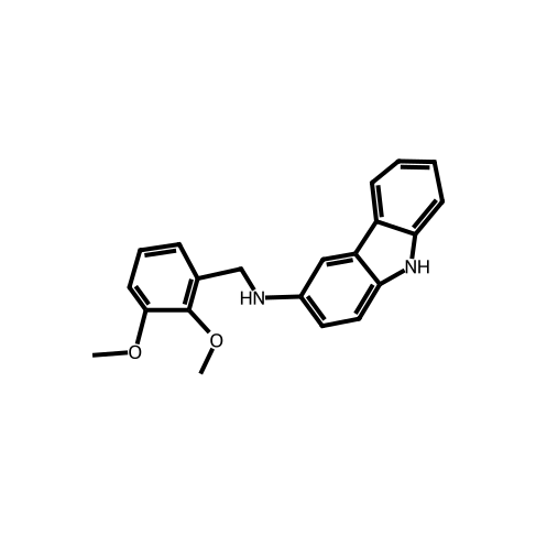 COc1cccc(CNc2ccc3[nH]c4ccccc4c3c2)c1OC